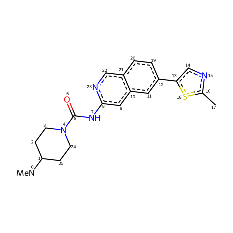 CNC1CCN(C(=O)Nc2cc3cc(-c4cnc(C)s4)ccc3cn2)CC1